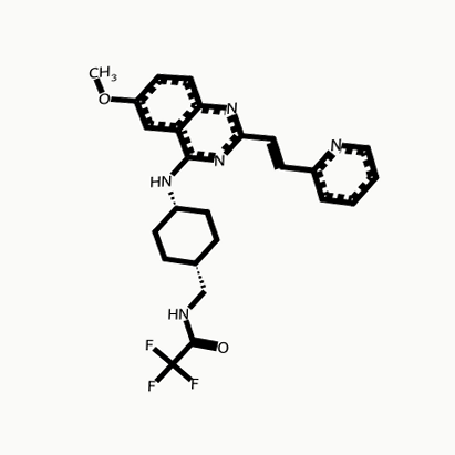 COc1ccc2nc(C=Cc3ccccn3)nc(N[C@H]3CC[C@@H](CNC(=O)C(F)(F)F)CC3)c2c1